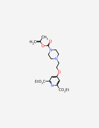 C=C(C)OC(=O)N1CCN(CCOc2cc(C(=O)OCC)nc(C(=O)OCC)c2)CC1